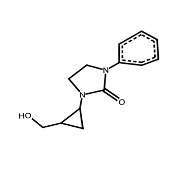 O=C1N(c2ccccc2)CCN1C1CC1CO